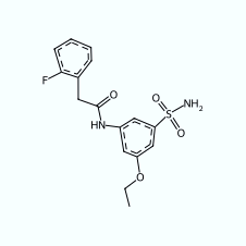 CCOc1cc(NC(=O)Cc2ccccc2F)cc(S(N)(=O)=O)c1